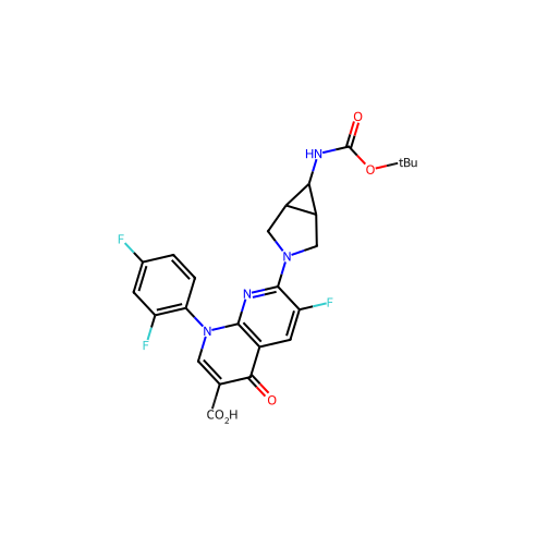 CC(C)(C)OC(=O)NC1C2CN(c3nc4c(cc3F)c(=O)c(C(=O)O)cn4-c3ccc(F)cc3F)CC21